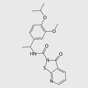 COc1cc(C(C)NC(=O)n2sc3ncccc3c2=O)ccc1OC(C)C